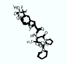 CC(C)(C)[C@H](NC(=O)c1cc2cc(C(F)(F)P(=O)(O)O)ccc2s1)C(=O)N1CCC[C@H]1C(=O)N1CCCCC1